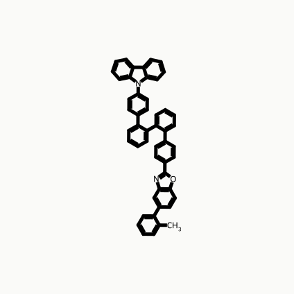 Cc1ccccc1-c1ccc2oc(-c3ccc(-c4ccccc4-c4ccccc4-c4ccc(-n5c6ccccc6c6ccccc65)cc4)cc3)nc2c1